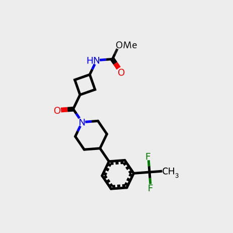 COC(=O)NC1CC(C(=O)N2CCC(c3cccc(C(C)(F)F)c3)CC2)C1